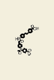 COC(=O)c1ccc(N(C(C)=O)c2ccc(CC(=O)Nc3ccc(C=Cc4ccc(C(=O)O)cc4)cc3)cc2)cc1